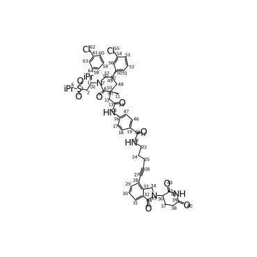 CC(C)[C@@H](CS(=O)(=O)C(C)C)N1C(=O)[C@@](C)(CC(=O)Nc2ccc(C(=O)NCCCC#Cc3cccc4c3CN(C3CCC(=O)NC3=O)C4=O)cc2)C[C@H](c2cccc(Cl)c2)[C@H]1c1ccc(Cl)cc1